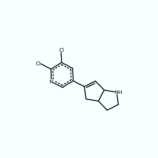 Clc1cc(C2=CC3NCCC3C2)cnc1Cl